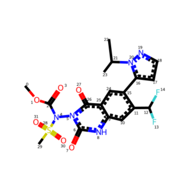 COC(=O)N(n1c(=O)[nH]c2cc(C(F)F)c(-c3ccnn3C(C)C)cc2c1=O)S(C)(=O)=O